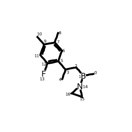 CB(CC(C)c1cc(C)c(C)cc1F)N1CC1